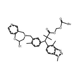 CCC1CN(Cc2cc(C(c3ccc4c(nnn4C)c3C)C(C)(C)C(=O)OCOC(=O)C(C)(C)C)ccc2C)Cc2cnccc2O1